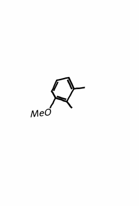 [CH2]Oc1cccc(C)c1C